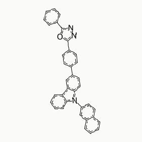 c1ccc(-c2nnc(-c3ccc(-c4ccc5c(c4)c4ccccc4n5-c4ccc5ccccc5c4)cc3)o2)cc1